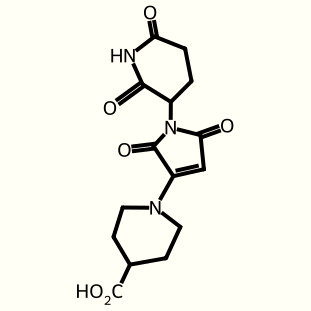 O=C1CCC(N2C(=O)C=C(N3CCC(C(=O)O)CC3)C2=O)C(=O)N1